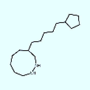 C1CCNNCC(CCCCCC2CCCC2)CC1